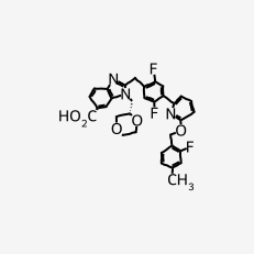 Cc1ccc(COc2cccc(-c3cc(F)c(Cc4nc5ccc(C(=O)O)cc5n4C[C@H]4COCCO4)cc3F)n2)c(F)c1